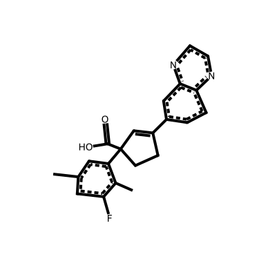 Cc1cc(F)c(C)c(C2(C(=O)O)C=C(c3ccc4nccnc4c3)CC2)c1